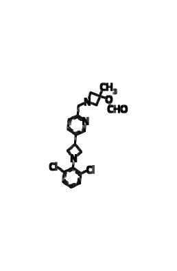 CC1(OC=O)CN(Cc2ccc(C3CN(c4c(Cl)cccc4Cl)C3)cn2)C1